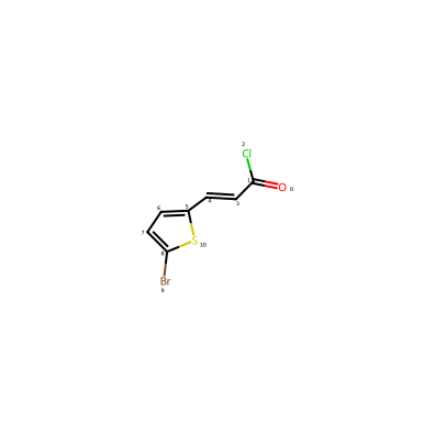 O=C(Cl)C=Cc1ccc(Br)s1